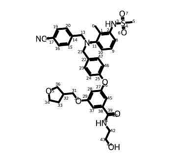 Cc1c(NS(C)(=O)=O)cccc1N(Cc1ccc(C#N)cc1)Cc1ccc(Oc2cc(OCC3CCOC3)cc(C(=O)NCCO)c2)cc1